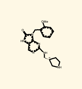 COc1ccccc1Cn1c(=O)[nH]c2cnc(NC[C@@H]3CCNC3)nc21